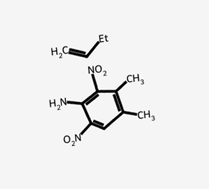 C=CCC.Cc1cc([N+](=O)[O-])c(N)c([N+](=O)[O-])c1C